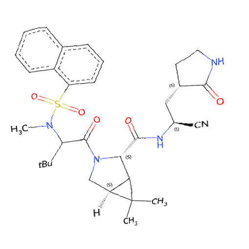 CN(C(C(=O)N1C[C@H]2C([C@H]1C(=O)N[C@H](C#N)C[C@@H]1CCNC1=O)C2(C)C)C(C)(C)C)S(=O)(=O)c1cccc2ccccc12